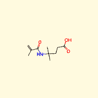 C=C(C)C(=O)NC(C)(C)CCC(=O)O